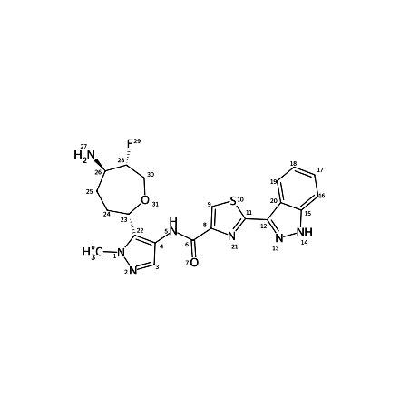 Cn1ncc(NC(=O)c2csc(-c3n[nH]c4ccccc34)n2)c1[C@@H]1CC[C@@H](N)[C@H](F)CO1